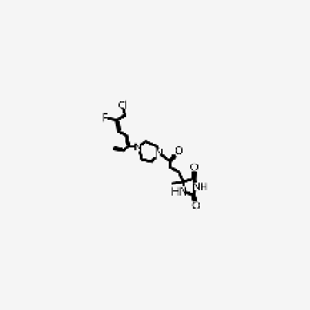 C=C/C(=C\C=C(\F)CCl)N1CCN(C(=O)CCC2(C)NC(=O)NC2=O)CC1